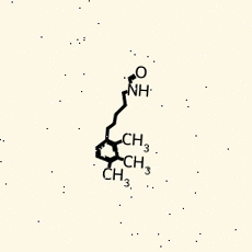 Cc1ccc(CCCCCN[C]=O)c(C)c1C